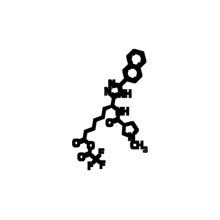 CN1CC[C@H](C(=O)N[C@@H](CCCCCC(=O)OC(=O)C(F)(F)F)c2nnc(-c3ccc4ccccc4c3)[nH]2)C1